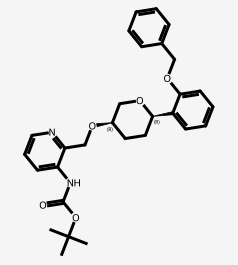 CC(C)(C)OC(=O)Nc1cccnc1CO[C@@H]1CC[C@H](c2ccccc2OCc2ccccc2)OC1